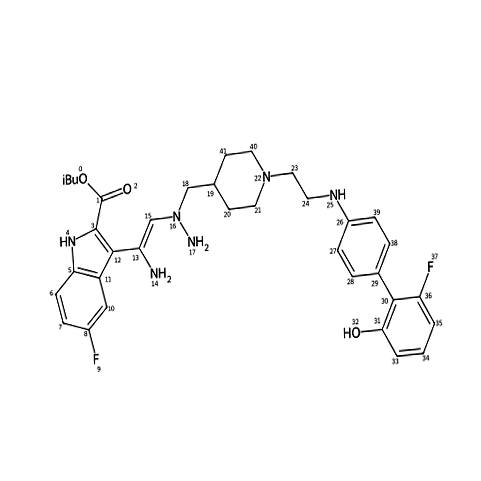 CC(C)COC(=O)c1[nH]c2ccc(F)cc2c1/C(N)=C/N(N)CC1CCN(CCNc2ccc(-c3c(O)cccc3F)cc2)CC1